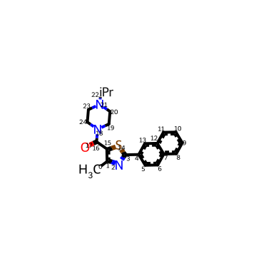 Cc1nc(-c2ccc3ccccc3c2)sc1C(=O)N1CCN(C(C)C)CC1